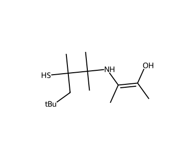 C/C(O)=C(\C)NC(C)(C)C(C)(S)CC(C)(C)C